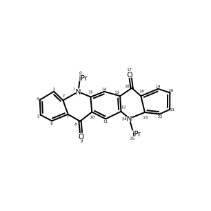 CC(C)n1c2ccccc2c(=O)c2cc3c(cc21)c(=O)c1ccccc1n3C(C)C